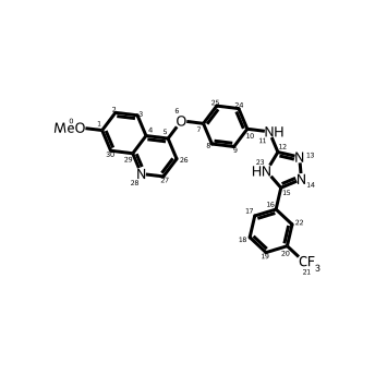 COc1ccc2c(Oc3ccc(Nc4nnc(-c5cccc(C(F)(F)F)c5)[nH]4)cc3)ccnc2c1